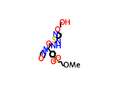 COCCCS(=O)(=O)c1ccc(/C(=N\N2CCOCC2)C(=O)Nc2nc3ccc(OCCO)nc3s2)cc1